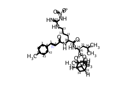 Cc1ccc(/C=C/C(=O)N[C@@H](CCCNC(=N)N[N+](=O)[O-])C(=O)N[C@@H](CC(C)C)B2O[C@@H]3C[C@@H]4C[C@@H](C4(C)C)[C@]3(C)O2)cc1